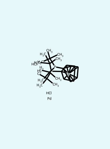 CC(C)(C)P(C(C)(C)C)[C]12[CH]3[CH]4[CH]5[CH]1[Fe]45321678[CH]2[CH]1[CH]6[C]7(P(C(C)(C)C)C(C)(C)C)[CH]28.Cl.Cl.[Pd]